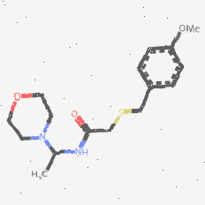 COc1ccc(CSCC(=O)NC(C)N2CCOCC2)cc1